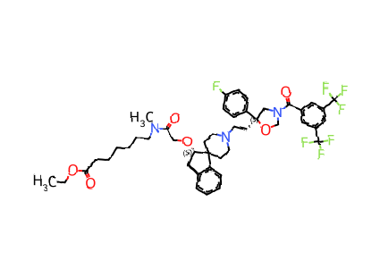 CCOC(=O)CCCCCCN(C)C(=O)CO[C@H]1Cc2ccccc2C12CCN(CC[C@]1(c3ccc(F)cc3)CN(C(=O)c3cc(C(F)(F)F)cc(C(F)(F)F)c3)CO1)CC2